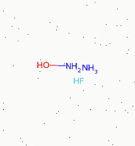 F.N.NO